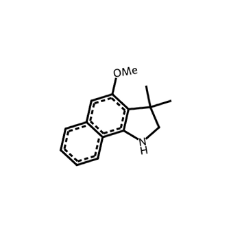 COc1cc2ccccc2c2c1C(C)(C)CN2